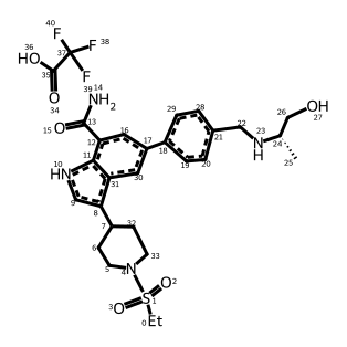 CCS(=O)(=O)N1CCC(c2c[nH]c3c(C(N)=O)cc(-c4ccc(CN[C@@H](C)CO)cc4)cc23)CC1.O=C(O)C(F)(F)F